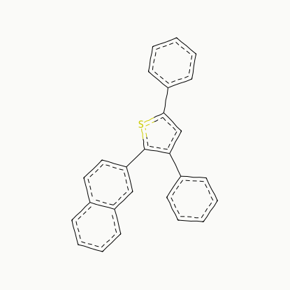 c1ccc(-c2cc(-c3ccccc3)c(-c3ccc4ccccc4c3)s2)cc1